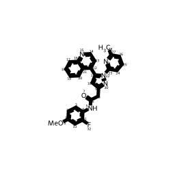 COc1ccc(NC(=O)Cc2cc(-c3ccnc4ccccc34)n(-c3cccc(C)n3)n2)c(F)c1